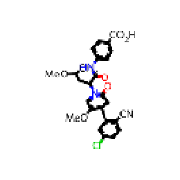 COc1cn(C(CC(C)OC)C(=O)Nc2ccc(C(=O)O)cc2)c(=O)cc1-c1cc(Cl)ccc1C#N